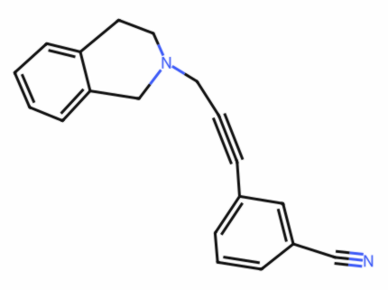 N#Cc1cccc(C#CCN2CCc3ccccc3C2)c1